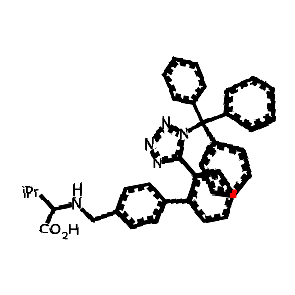 CC(C)C(NCc1ccc(-c2ccccc2-c2nnnn2C(c2ccccc2)(c2ccccc2)c2ccccc2)cc1)C(=O)O